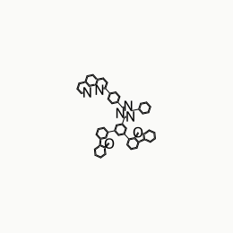 c1ccc(-c2nc(-c3ccc(-c4ccc5ccc6cccnc6c5n4)cc3)nc(-c3cc(-c4cccc5c4oc4ccccc45)cc(-c4cccc5c4oc4ccccc45)c3)n2)cc1